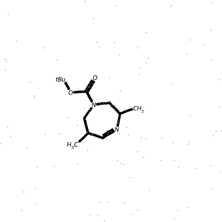 CC1C=NC(C)CN(C(=O)OC(C)(C)C)C1